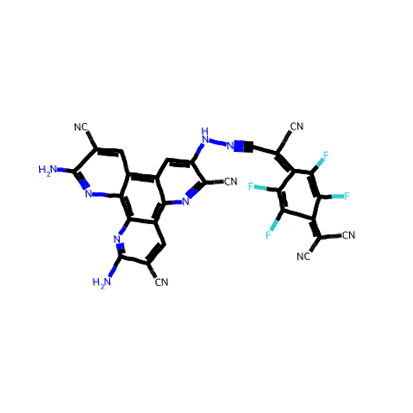 N#CC(C#N)=c1c(F)c(F)c(=C(C#N)C#[N+]Nc2cc3c4cc(C#N)c(N)nc4c4nc(N)c(C#N)cc4c3nc2C#N)c(F)c1F